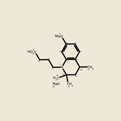 COc1ccc2c(c1)N(CCCS(=O)(=O)O)C(C)(C)CC2C.[NaH]